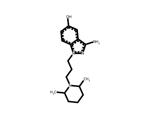 CC1CCCC(C)N1CCCn1nc(N)c2cc(O)ccc21